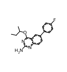 CCC(C)Oc1nc(N)nc2ccc(-c3ccc(F)cc3)cc12